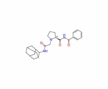 O=C(CN1CCC[C@H]1C(=O)NC(=O)c1ccccc1)NC1C2CC3CC(C2)CC1C3